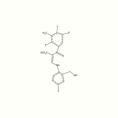 CCOC(=O)/C(=C/Nc1ccc(F)cc1CO)C(=O)c1cc(F)c(F)c(C)c1F